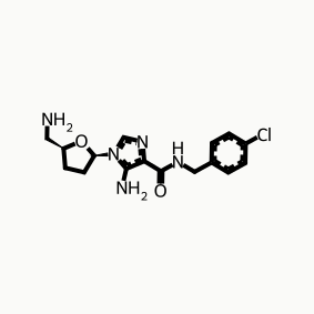 NC[C@@H]1CC[C@H](n2cnc(C(=O)NCc3ccc(Cl)cc3)c2N)O1